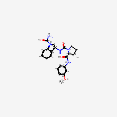 C[C@H]1CCN(C(=O)Nc2cn(C(N)=O)c3ccccc23)[C@@H]1C(=O)Nc1cccc(OC(F)(F)F)c1